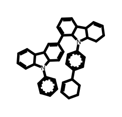 C1=CC2C3C=C(C4=CC=CC5C6C=CCCC6N(c6ccc(C7C=CCCC7)cc6)C45)C=CC3N(c3ccccc3)C2C=C1